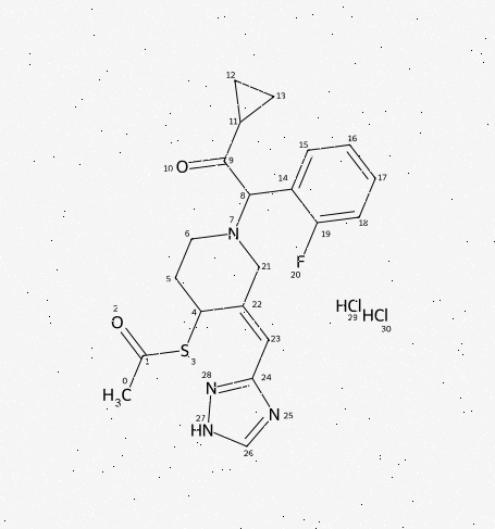 CC(=O)SC1CCN(C(C(=O)C2CC2)c2ccccc2F)CC1=Cc1nc[nH]n1.Cl.Cl